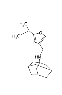 CC(C)c1nc(CNC23CC4CC(CC(C4)C2)C3)co1